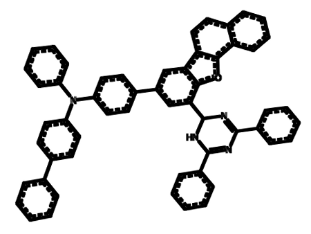 c1ccc(C2=NC(c3cc(-c4ccc(N(c5ccccc5)c5ccc(-c6ccccc6)cc5)cc4)cc4c3oc3c5ccccc5ccc43)NC(c3ccccc3)=N2)cc1